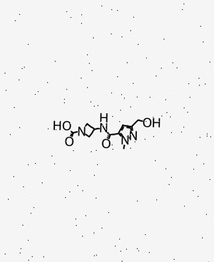 Cn1nc(CO)cc1C(=O)NC1CN(C(=O)O)C1